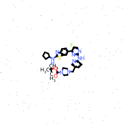 CC(C)(C)OC(=O)N1CCN(Cc2ccc(Nc3ncc(F)c(-c4ccc5nc(NC6CCCC6)sc5c4)n3)nc2)CC1